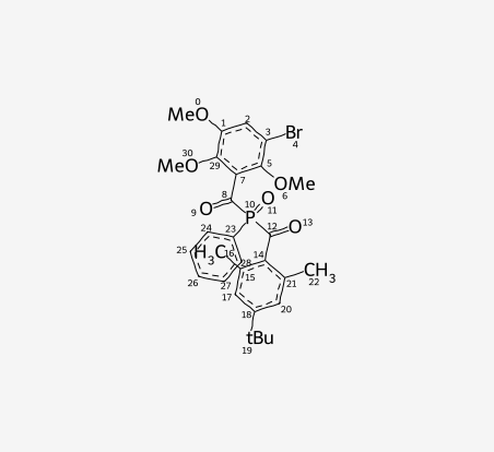 COc1cc(Br)c(OC)c(C(=O)P(=O)(C(=O)c2c(C)cc(C(C)(C)C)cc2C)c2ccccc2)c1OC